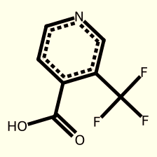 O=C(O)c1ccncc1C(F)(F)F